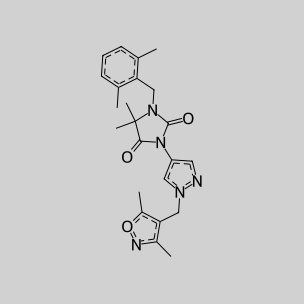 Cc1cccc(C)c1CN1C(=O)N(c2cnn(Cc3c(C)noc3C)c2)C(=O)C1(C)C